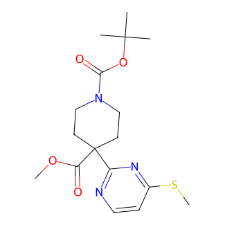 COC(=O)C1(c2nccc(SC)n2)CCN(C(=O)OC(C)(C)C)CC1